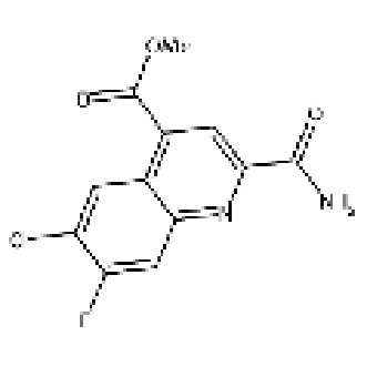 COC(=O)c1cc(C(N)=O)nc2cc(F)c(Cl)cc12